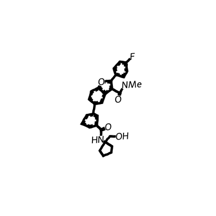 CNC(=O)c1c(-c2ccc(F)cc2)oc2ccc(-c3cccc(C(=O)NC4(CO)CCCC4)c3)cc12